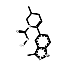 Cc1n[nH]c2ccc(C3=CCC(C)CN3C(=O)OC(C)(C)C)cc12